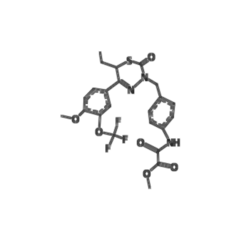 CCC1SC(=O)N(Cc2ccc(NC(=O)C(=O)OC)cc2)N=C1c1ccc(OC)c(OC(F)(F)F)c1